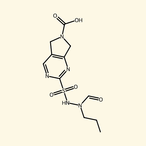 CCCN(C=O)NS(=O)(=O)c1ncc2c(n1)CN(C(=O)O)C2